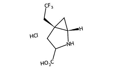 Cl.O=C(O)C1C[C@]2(CC(F)(F)F)C[C@@H]2N1